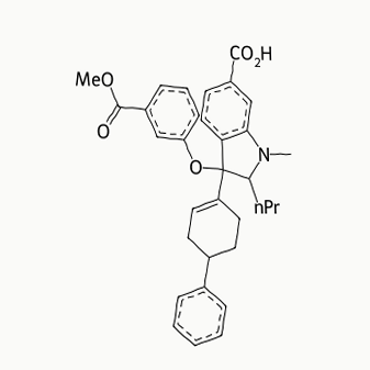 CCCC1N(C)c2cc(C(=O)O)ccc2C1(Oc1cccc(C(=O)OC)c1)C1=CCC(c2ccccc2)CC1